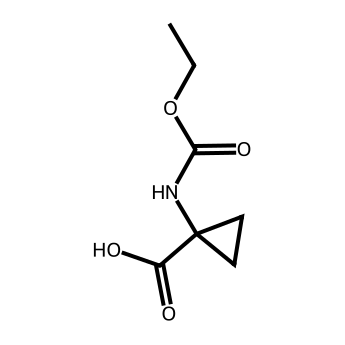 CCOC(=O)NC1(C(=O)O)CC1